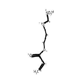 C=CC(=O)OCCOCS(=O)(=O)O